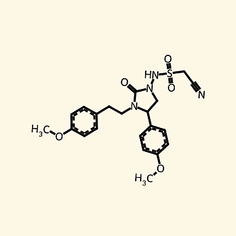 COc1ccc(CCN2C(=O)N(NS(=O)(=O)CC#N)CC2c2ccc(OC)cc2)cc1